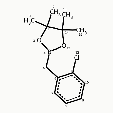 CC1(C)OB(Cc2ccccc2Cl)OC1(C)C